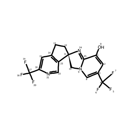 OC1=CC(C(F)(F)F)=CN2C[C@@]3(CCc4cc(C(F)(F)F)ncc43)N=C12